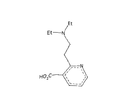 CCN(CC)CCc1ncccc1C(=O)O